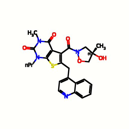 CCCn1c(=O)n(C)c(=O)c2c(C(=O)N3C[C@](C)(O)CO3)c(Cc3ccnc4ccccc34)sc21